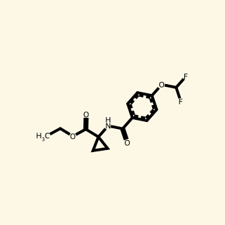 CCOC(=O)C1(NC(=O)c2ccc(OC(F)F)cc2)CC1